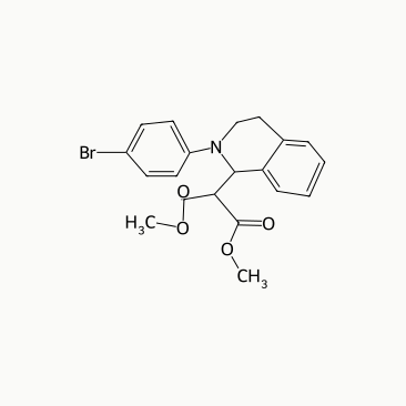 COC(=O)C(C(=O)OC)C1c2ccccc2CCN1c1ccc(Br)cc1